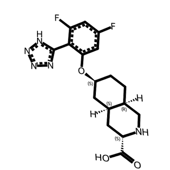 O=C(O)[C@@H]1C[C@H]2C[C@@H](Oc3cc(F)cc(F)c3-c3nnn[nH]3)CC[C@H]2CN1